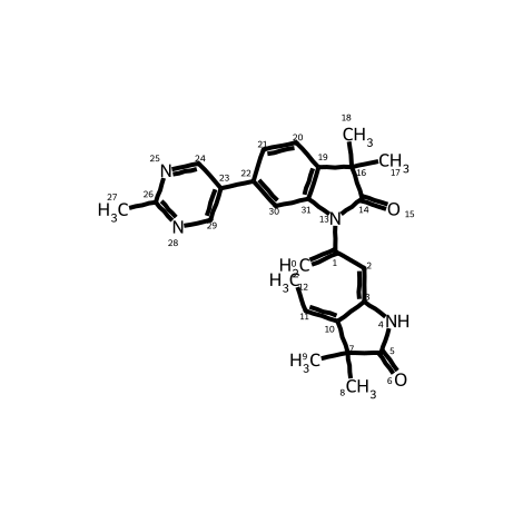 C=C(/C=C1/NC(=O)C(C)(C)/C1=C/C)N1C(=O)C(C)(C)c2ccc(-c3cnc(C)nc3)cc21